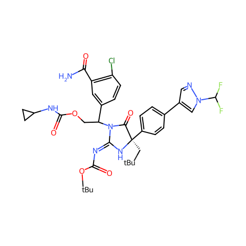 CC(C)(C)C[C@]1(c2ccc(-c3cnn(C(F)F)c3)cc2)NC(=NC(=O)OC(C)(C)C)N(C(COC(=O)NC2CC2)c2ccc(Cl)c(C(N)=O)c2)C1=O